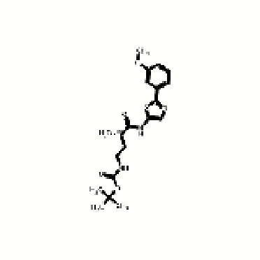 COc1cccc(-c2ncc(NC(=O)[C@@H](C)CCNC(=O)OC(C)(C)C)s2)c1